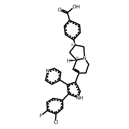 O=C(O)c1ccc([C@@H]2C[C@H]3C=C(c4c[nH]c(-c5ccc(F)c(Cl)c5)c4-c4ccncc4)CCN3C2)cc1